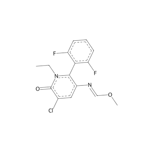 CCn1c(-c2c(F)cccc2F)c(N=COC)cc(Cl)c1=O